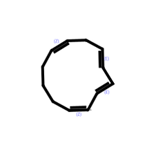 [C]1=C\CCC/C=C\C/C=C/C=C/1